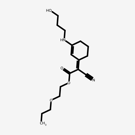 CCCOCCOC(=O)/C(C#N)=C1\C=C(NCCCO)CCC1